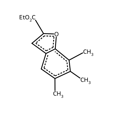 CCOC(=O)c1cc2cc(C)c(C)c(C)c2o1